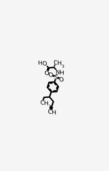 C#CCC(CC)c1ccc(S(=O)(=O)N[C@H](C)C(=O)O)cc1